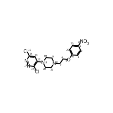 O=[N+]([O-])c1ccc(OCCN2CCN(c3cc(Cl)nnc3Cl)CC2)cc1